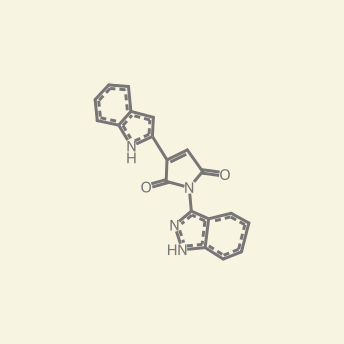 O=C1C=C(c2cc3ccccc3[nH]2)C(=O)N1c1n[nH]c2ccccc12